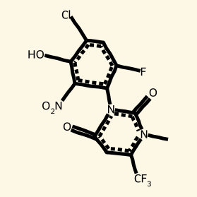 Cn1c(C(F)(F)F)cc(=O)n(-c2c(F)cc(Cl)c(O)c2[N+](=O)[O-])c1=O